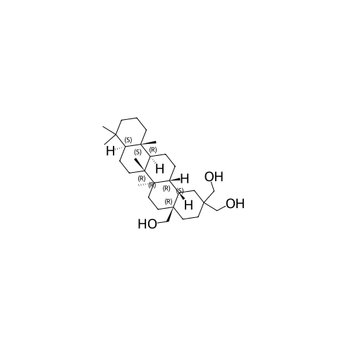 CC1(C)CCC[C@]2(C)[C@H]3CC[C@@H]4[C@@H]5CC(CO)(CO)CC[C@]5(CO)CC[C@@]4(C)[C@]3(C)CC[C@@H]12